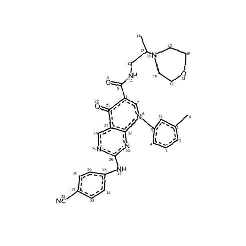 Cc1cccc(-n2cc(C(=O)NCC(C)N3CCOCC3)c(=O)c3cnc(Nc4ccc(C#N)cc4)nc32)c1